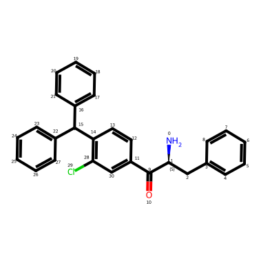 N[C@@H](Cc1ccccc1)C(=O)c1ccc([C](c2ccccc2)c2ccccc2)c(Cl)c1